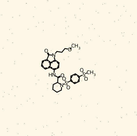 COCCCN1C(=O)c2cccc3c(NC(=O)C4CCCCN4S(=O)(=O)c4ccc(S(C)(=O)=O)cc4)ccc1c23